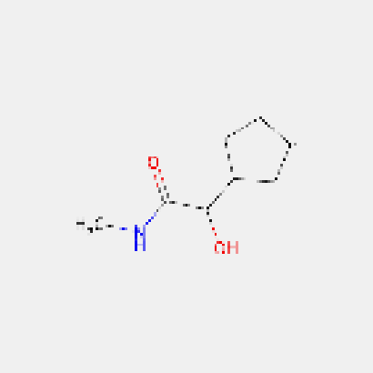 CNC(=O)C(O)C1C[CH]CC1